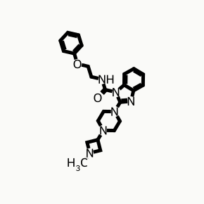 CN1CC(N2CCN(c3nc4ccccc4n3C(=O)NCCOc3ccccc3)CC2)C1